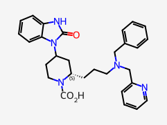 O=C(O)N1CCC(n2c(=O)[nH]c3ccccc32)C[C@@H]1CCCN(Cc1ccccc1)Cc1ccccn1